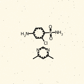 Cc1cc(C)ncn1.Nc1ccc(S(N)(=O)=O)c(Cl)c1